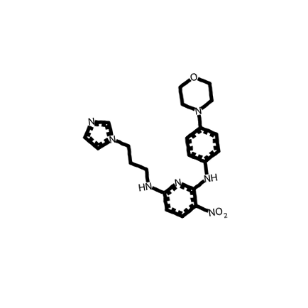 O=[N+]([O-])c1ccc(NCCCn2ccnc2)nc1Nc1ccc(N2CCOCC2)cc1